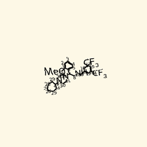 COc1ccccc1C(CNCc1cc(C(F)(F)F)cc(C(F)(F)F)c1)N1CCN(C2CCCCCC2)CC1